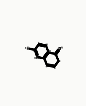 O=C1CC=Cc2nc(F)ccc21